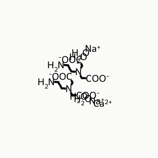 NCCN(CC(=O)[O-])CC(=O)[O-].NCCN(CC(=O)[O-])CC(=O)[O-].O.O.O.O.[Ca+2].[Na+].[Na+]